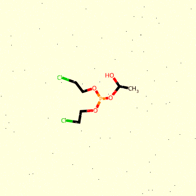 CC(O)OP(OCCCl)OCCCl